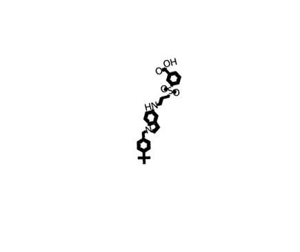 CC(C)(C)c1ccc(Cn2ccc3cc(NC=CCS(=O)(=O)c4cccc(C(=O)O)c4)ccc32)cc1